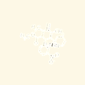 COC(=O)C1=C(C)NC(C)=C(C2(N)C=CC=CN2)C1c1cccc([N+](=O)[O-])c1